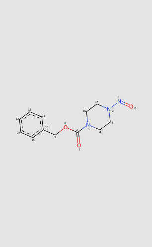 O=NN1CCN(C(=O)OCc2ccccc2)CC1